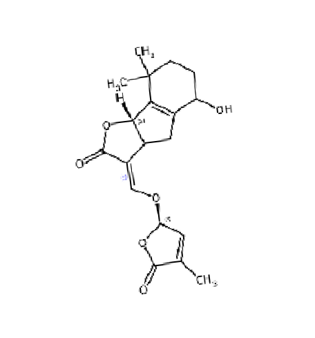 CC1=C[C@H](O/C=C2/C(=O)O[C@@H]3C4=C(CC23)C(O)CCC4(C)C)OC1=O